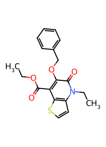 CCOC(=O)c1c(OCc2ccccc2)c(=O)n(CC)c2ccsc12